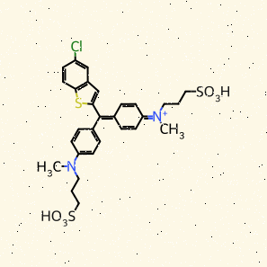 CN(CCCS(=O)(=O)O)c1ccc(C(=C2C=CC(=[N+](C)CCCS(=O)(=O)O)C=C2)c2cc3cc(Cl)ccc3s2)cc1